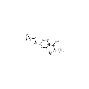 C[C@H](N)C(=O)N1CCC(OCC2CC2)CC1